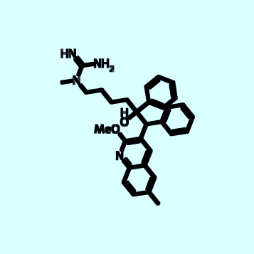 COc1nc2ccc(C)cc2cc1C(c1ccccc1)C(O)(CCCCN(C)C(=N)N)c1ccccc1